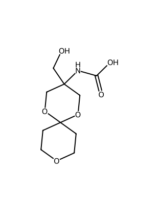 O=C(O)NC1(CO)COC2(CCOCC2)OC1